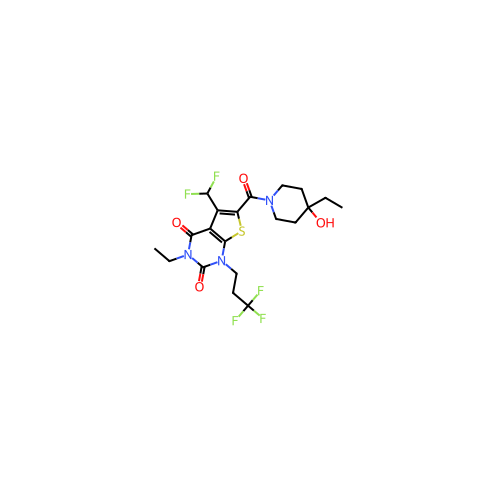 CCn1c(=O)c2c(C(F)F)c(C(=O)N3CCC(O)(CC)CC3)sc2n(CCC(F)(F)F)c1=O